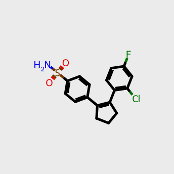 NS(=O)(=O)c1ccc(C2=C(c3ccc(F)cc3Cl)CCC2)cc1